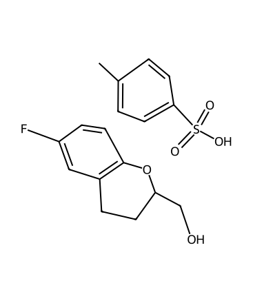 Cc1ccc(S(=O)(=O)O)cc1.OCC1CCc2cc(F)ccc2O1